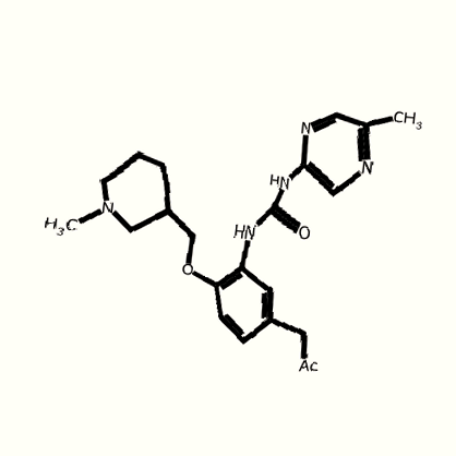 CC(=O)Cc1ccc(OCC2CCCN(C)C2)c(NC(=O)Nc2cnc(C)cn2)c1